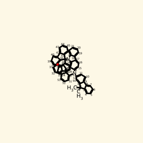 CC1(C)c2ccccc2-c2ccc(N(c3ccc4c5ccccc5n(C5(c6cccc7ccccc67)c6ccccc6-c6ccccc65)c4c3)c3cccc4ccccc34)cc21